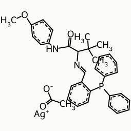 CC(=O)[O-].COc1ccc(NC(=O)C(N=Cc2ccccc2P(c2ccccc2)c2ccccc2)C(C)(C)C)cc1.[Ag+]